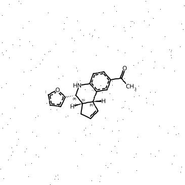 CC(=O)c1ccc2c(c1)[C@@H]1C=CC[C@@H]1[C@H](c1ccco1)N2